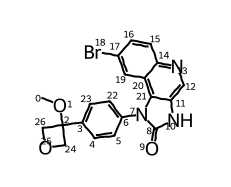 COC1(c2ccc(-n3c(=O)[nH]c4cnc5ccc(Br)cc5c43)cc2)COC1